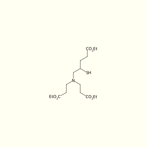 CCOC(=O)CCC(S)CN(CCC(=O)OCC)CCC(=O)OCC